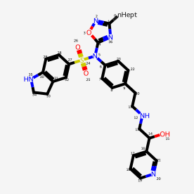 CCCCCCCc1noc(N(c2ccc(CCNCC(O)c3cccnc3)cc2)S(=O)(=O)c2ccc3c(c2)CCN3)n1